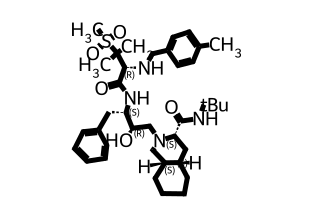 Cc1ccc(CN[C@H](C(=O)N[C@@H](Cc2ccccc2)[C@H](O)CN2C[C@H]3CCCC[C@H]3C[C@H]2C(=O)NC(C)(C)C)C(C)(C)S(C)(=O)=O)cc1